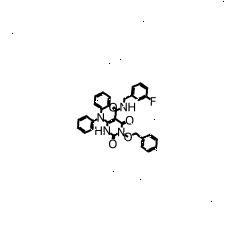 O=C(NCc1cccc(F)c1)c1c(N(c2ccccc2)c2ccccc2)[nH]c(=O)n(OCc2ccccc2)c1=O